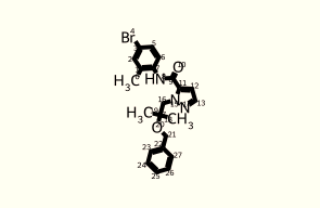 Cc1cc(Br)ccc1NC(=O)c1ccnn1CC(C)(C)OCc1ccccc1